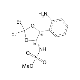 CCC1(CC)O[C@@H](NS(=O)(=O)OC)[C@@H](c2ccccc2N)O1